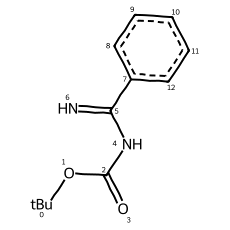 CC(C)(C)OC(=O)NC(=N)c1ccccc1